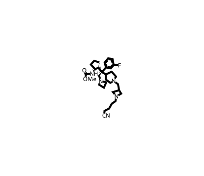 COC(=O)N[C@H]1CCC[C@@H]1[C@](CN1CCC1)(c1cccc(F)c1)C1CCN(CC2CN(CCCCC#N)C2)CC1